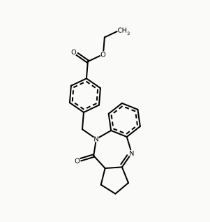 CCOC(=O)c1ccc(CN2C(=O)C3CCCC3=Nc3ccccc32)cc1